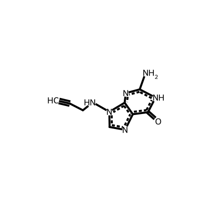 C#CCNn1cnc2c(=O)[nH]c(N)nc21